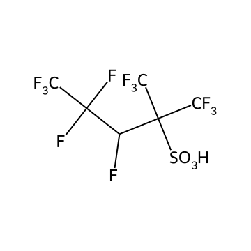 O=S(=O)(O)C(C(F)C(F)(F)C(F)(F)F)(C(F)(F)F)C(F)(F)F